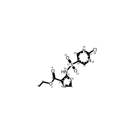 CCOC(=O)c1ncsc1NS(=O)(=O)c1cnc(Cl)nc1